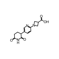 O=C1CCC(c2ccc(N3CC(C(=O)O)C3)nc2)C(=O)N1